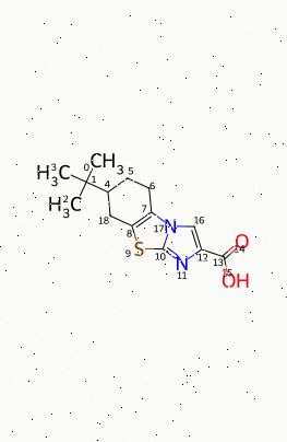 CC(C)(C)C1CCc2c(sc3nc(C(=O)O)cn23)C1